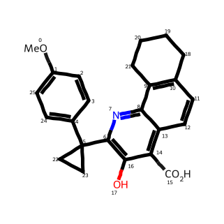 COc1ccc(C2(c3nc4c5c(ccc4c(C(=O)O)c3O)CCCC5)CC2)cc1